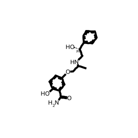 CC(COc1ccc(O)c(C(N)=O)c1)NC[C@H](O)c1ccccc1